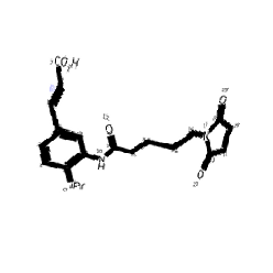 CC(C)c1ccc(/C=C/C(=O)O)cc1NC(=O)CCCCN1C(=O)C=CC1=O